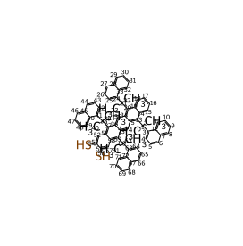 CC(C)(c1cccc2ccccc12)c1c2ccccc2c(C(C)(C)c2cccc3ccccc23)c2cc3c(C(C)(C)c4cccc5ccccc45)c4cc(S)c(S)cc4c(C(C)(C)c4cccc5ccccc45)c3cc12